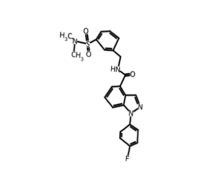 CN(C)S(=O)(=O)c1cccc(CNC(=O)c2cccc3c2cnn3-c2ccc(F)cc2)c1